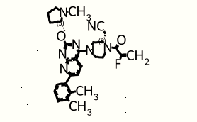 C=C(F)C(=O)N1CCN(c2nc(OC[C@@H]3CCCN3C)nc3nc(-c4cccc(C)c4C)ccc23)C[C@@H]1CC#N